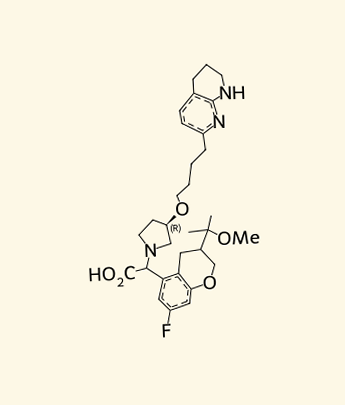 COC(C)(C)C1COc2cc(F)cc(C(C(=O)O)N3CC[C@@H](OCCCCc4ccc5c(n4)NCCC5)C3)c2C1